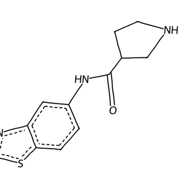 O=C(Nc1ccc2scnc2c1)C1CCNC1